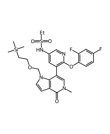 CCS(=O)(=O)Nc1cnc(Oc2ccc(F)cc2F)c(-c2cn(C)c(=O)c3ccn(COCC[Si](C)(C)C)c23)c1